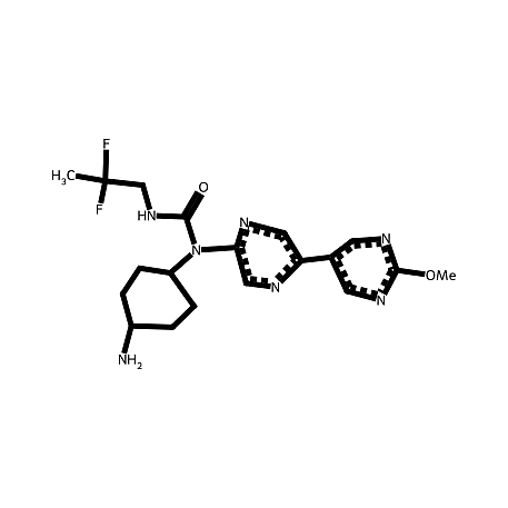 COc1ncc(-c2cnc(N(C(=O)NCC(C)(F)F)C3CCC(N)CC3)cn2)cn1